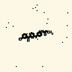 C=CC(=O)Nc1ccc(Sc2ccnc(Nc3cccc(Cl)c3)n2)cc1